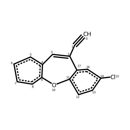 C#CC1=Cc2ccccc2Oc2ccc(Cl)cc21